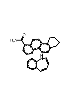 C1=CNc2ccccc2C=C1.NC(=O)c1cccc2c1ccc1c3c(ccc12)CCCC3